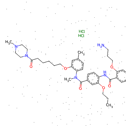 CCCOc1cc(C(=O)N(C)c2ccc(C)cc2OCCCCCC(=O)N2CCN(C)CC2)ccc1NC(=O)c1ccccc1OCCCN.Cl.Cl